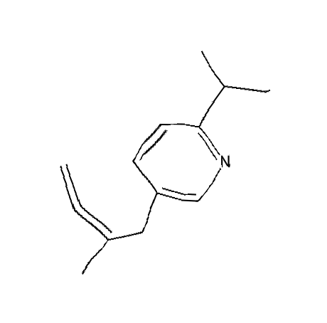 C=C=C(C)Cc1ccc(C(C)C)nc1